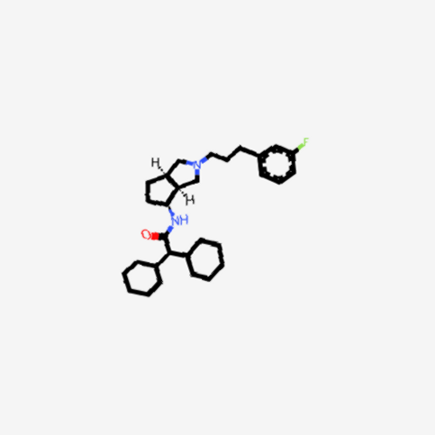 O=C(N[C@H]1CC[C@H]2CN(CCCc3cccc(F)c3)C[C@H]21)C(C1CCCCC1)C1CCCCC1